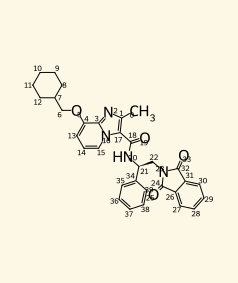 Cc1nc2c(OCC3CCCCC3)cccn2c1C(=O)N[C@@H](CN1C(=O)c2ccccc2C1=O)c1ccccc1